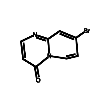 O=c1ccnc2cc(Br)ccn12